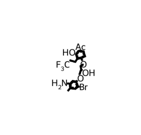 CC(=O)c1ccc(OCC(O)COc2cc(N)c(C)cc2Br)c(CCC(F)(F)F)c1O